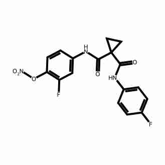 O=C(Nc1ccc(F)cc1)C1(C(=O)Nc2ccc(O[N+](=O)[O-])c(F)c2)CC1